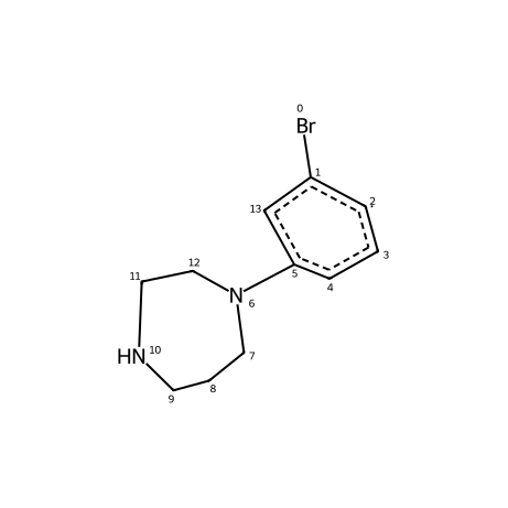 Brc1[c]ccc(N2CCCNCC2)c1